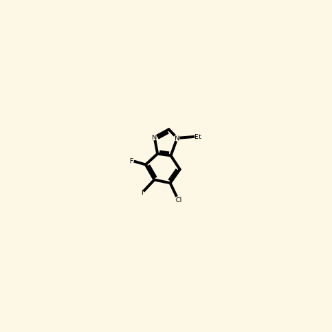 CCn1cnc2c(F)c(I)c(Cl)cc21